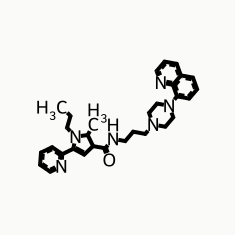 CCCN1C(c2ccccn2)=CC(C(=O)NCCCN2CCN(c3cccc4cccnc34)CC2)C1C